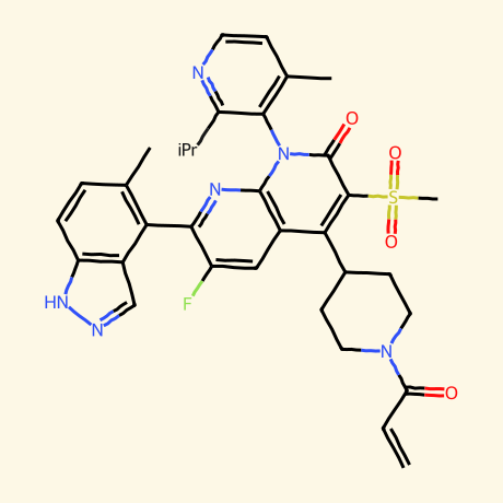 C=CC(=O)N1CCC(c2c(S(C)(=O)=O)c(=O)n(-c3c(C)ccnc3C(C)C)c3nc(-c4c(C)ccc5[nH]ncc45)c(F)cc23)CC1